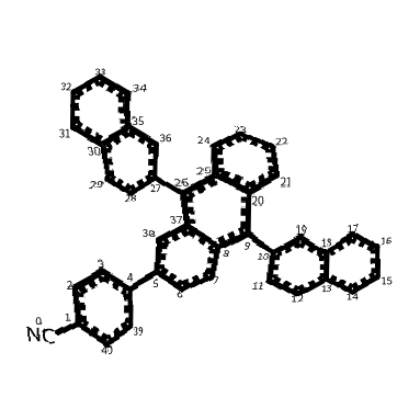 N#Cc1ccc(-c2ccc3c(-c4ccc5ccccc5c4)c4ccccc4c(-c4ccc5ccccc5c4)c3c2)cc1